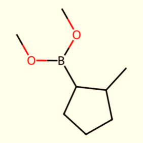 COB(OC)C1CCCC1C